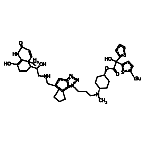 CN(CCCn1nnc2cc(CNC[C@H](O)C3C=CC(O)=C4NC(=O)C=CC43C)c3c(c21)CCC3)[C@H]1CC[C@H](OC(=O)C(O)(c2cccs2)c2ccc(C(C)(C)C)s2)CC1